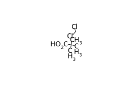 CC(C)(C)C(=O)O.ClCCl